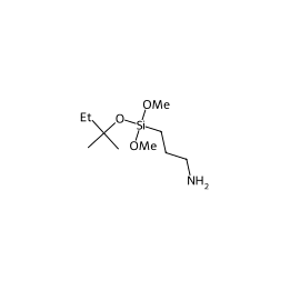 CCC(C)(C)O[Si](CCCN)(OC)OC